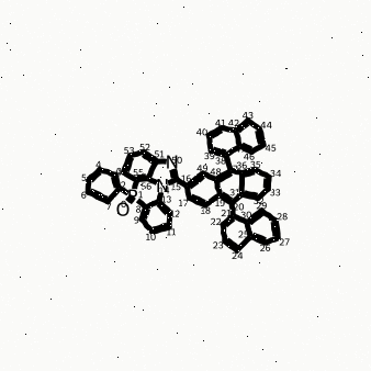 O=P1(c2ccccc2)c2ccccc2-n2c(-c3ccc4c(-c5cccc6ccccc56)c5ccccc5c(-c5cccc6ccccc56)c4c3)nc3cccc1c32